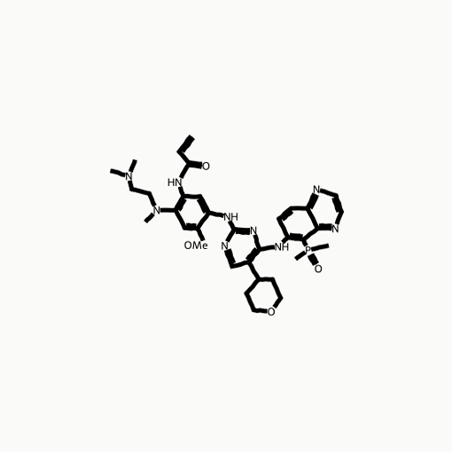 C=CC(=O)Nc1cc(Nc2ncc(C3CCOCC3)c(Nc3ccc4nccnc4c3P(C)(C)=O)n2)c(OC)cc1N(C)CCN(C)C